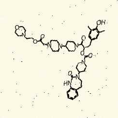 Cc1cc(C[C@@H](OC(=O)N2CCC(N3CCc4ccccc4NC3=O)CC2)C(=O)N2CCC(N3CCN(CC(=O)OCCN4CCOCC4)CC3)CC2)cc(C)c1O